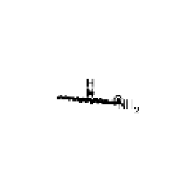 CCCCCCCCCCCCCCCCCCCCCC(N)=O.CNC